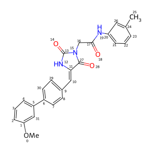 COc1cccc(-c2ccc(/C=C3\NC(=O)N(CC(=O)Nc4cccc(C)c4)C3=O)cc2)c1